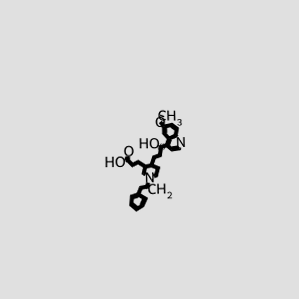 C=C(Cc1ccccc1)N1CCC(CC[C@H](O)c2ccnc3ccc(OC)cc23)C(CCC(=O)O)C1